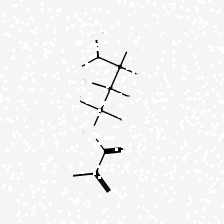 C=C(C)C(=O)OC(C)(C)C(F)(F)C(O)(C(F)F)C(F)(F)F